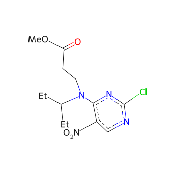 CCC(CC)N(CCC(=O)OC)c1nc(Cl)ncc1[N+](=O)[O-]